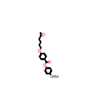 COc1ccc(OC(=O)c2ccc(OCCCCC3CO3)cc2)cc1